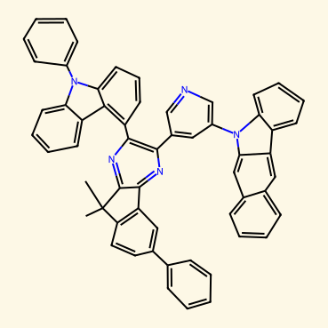 CC1(C)c2ccc(-c3ccccc3)cc2-c2nc(-c3cncc(-n4c5ccccc5c5cc6ccccc6cc54)c3)c(-c3cccc4c3c3ccccc3n4-c3ccccc3)nc21